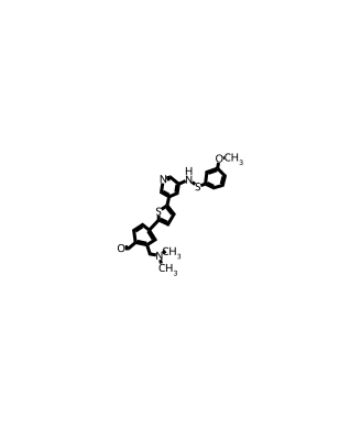 COc1cccc(SNc2cncc(-c3ccc(-c4ccc(C=O)c(CN(C)C)c4)s3)c2)c1